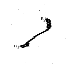 Cc1cc(CCCCCCCCCCCCCCCCCCCCc2cc(C)c(Cc3ccc(N)cc3)c(C)c2)cc(C)c1Cc1ccc(N)cc1